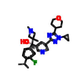 CC(C)c1ccc([C@](O)(c2cncc(-c3nc(C4CCOCC4)n(C4CC4)n3)c2)C2(C)CN(C)C2)cc1F